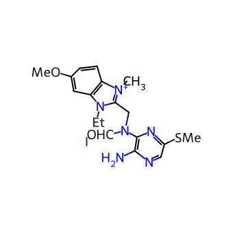 CCn1c(CN(C=O)c2nc(SC)cnc2N)[n+](C)c2ccc(OC)cc21.[I-]